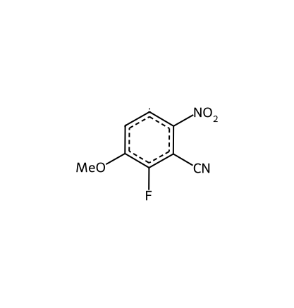 COc1c[c]c([N+](=O)[O-])c(C#N)c1F